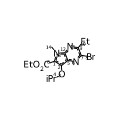 CCOC(=O)c1c(OC(C)C)c2nc(Br)c(CC)nc2n1C